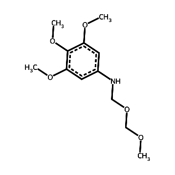 COCOCNc1cc(OC)c(OC)c(OC)c1